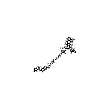 Cc1ccc2oc(=O)n(Cc3ccc(OCC(=O)NCCOCCOCCOCCOCCC(=O)N/N=C(\CO)C4(O)Cc5c(O)c6c(c(O)c5C(OC5CC7(N)OC7C(C)O5)C4)C(=O)c4c(O)cccc4C6=O)c(O)c3)c2c1